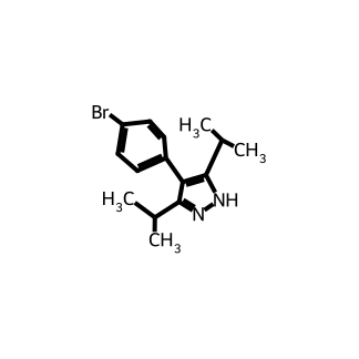 CC(C)c1n[nH]c(C(C)C)c1-c1ccc(Br)cc1